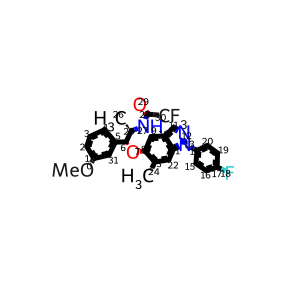 COc1cccc([C@H](Oc2cc3cnn(-c4ccc(F)cc4)c3cc2C)[C@H](C)NC(=O)C(F)(F)F)c1